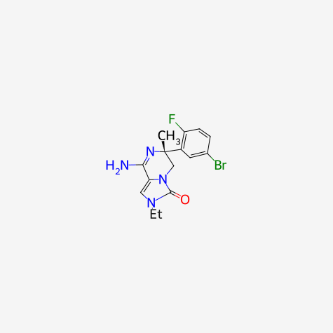 CCn1cc2n(c1=O)C[C@@](C)(c1cc(Br)ccc1F)N=C2N